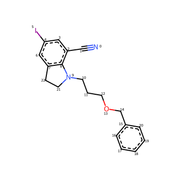 N#Cc1cc(I)cc2c1N(CCCOCc1ccccc1)CC2